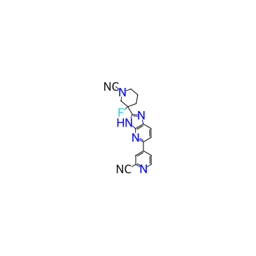 N#Cc1cc(-c2ccc3nc([C@@]4(F)CCCN(C#N)C4)[nH]c3n2)ccn1